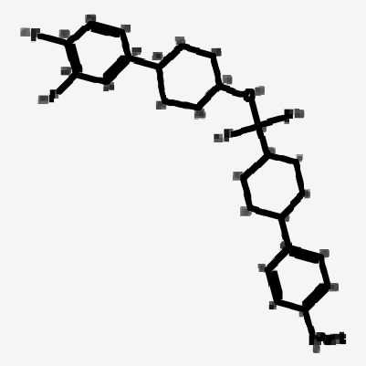 CCCCCc1ccc(C2CCC(C(F)(F)OC3CCC(c4ccc(F)c(F)c4)CC3)CC2)cc1